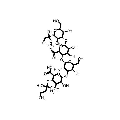 CCCC(C)(C)O[C@@H]1C(C(=O)O)O[C@@H](OC2[C@H](O)C(CO)O[C@@H](O[C@@H]3C(C(=O)O)O[C@@H](O[C@@H]4C(C)[C@H](C(C)(C)CC)OC(CO)[C@H]4O)[C@@H](O)C3O)[C@H]2C)[C@@H](O)C1O